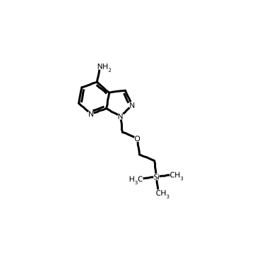 C[Si](C)(C)CCOCn1ncc2c(N)ccnc21